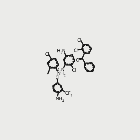 Cc1cc(Cl)ccc1N.Nc1ccc(Cl)c([N+](=O)[O-])c1.Nc1ccc(Cl)cc1C(F)(F)F.O=C(c1ccccc1)c1cccc(Cl)c1Cl